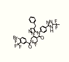 C[C@@H]1Cc2c(n3ncc(Cc4ccccc4)c3n(-c3ccc(-c4nnc(C(C)(F)F)[nH]4)cc3)c2=O)CN1C(=O)c1ccc(Br)c(C(F)(F)F)c1